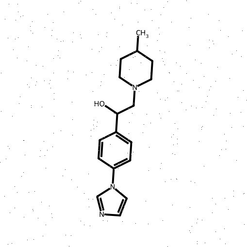 CC1CCN(CC(O)c2ccc(-n3ccnc3)cc2)CC1